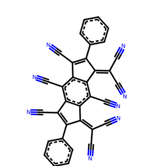 N#CC(C#N)=C1C(c2ccccc2)=C(C#N)c2c(C#N)c3c(c(C#N)c21)C(=C(C#N)C#N)C(c1ccccc1)=C3C#N